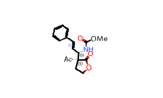 COC(=O)N[C@@H](/C=C/c1ccccc1)[C@]1(C(C)=O)CCOC1=O